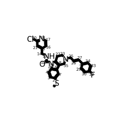 CSc1ccc2c(c1)c1c(n2C(=O)NCc2ccnc(Cl)c2)CCN(C/C=C/c2ccc(F)cc2)C1